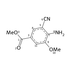 COC(=O)c1cc(C#N)c(N)c(OC)c1